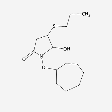 CCCSC1CC(=O)N(OC2CCCCCC2)C1O